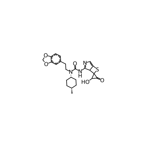 C[C@H]1CC[C@H](N(CCc2ccc3c(c2)OCO3)C(=O)NC2=NC=C3SC4(C(=O)C4O)C32)CC1